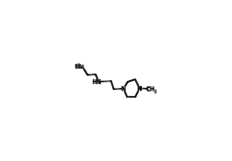 CN1CCN(CCNCCC(C)(C)C)CC1